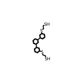 SCCSc1cccc(-c2cccc(-c3cccc(SCCS)c3)c2)c1